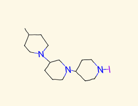 CC1CCN(C2CCCN(C3CCN(I)CC3)C2)CC1